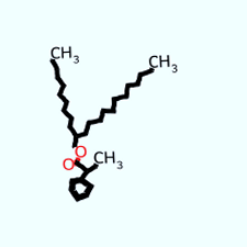 CCCCCCCCCCCCC(CCCCCCCCCC)COC(=O)C(CC)c1ccccc1